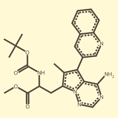 COC(=O)C(Cc1c(C)c(-c2cnc3ccccc3c2)c2c(N)ncnn12)NC(=O)OC(C)(C)C